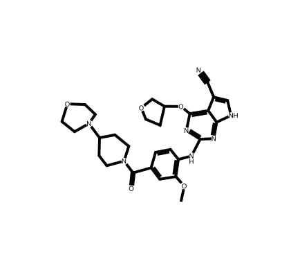 COc1cc(C(=O)N2CCC(N3CCOCC3)CC2)ccc1Nc1nc(OC2CCOC2)c2c(C#N)c[nH]c2n1